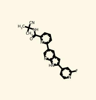 CC(C)(C#N)NC(=O)c1cccc(-c2cnc3[nH]c(-c4ccnc(F)c4)cc3c2)n1